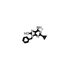 Nc1nc(C2CC2)nc2c1nc(O)n2Cc1ccccc1